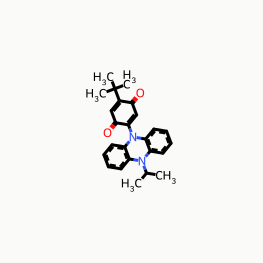 CC(C)N1c2ccccc2N(C2=CC(=O)C(C(C)(C)C)=CC2=O)c2ccccc21